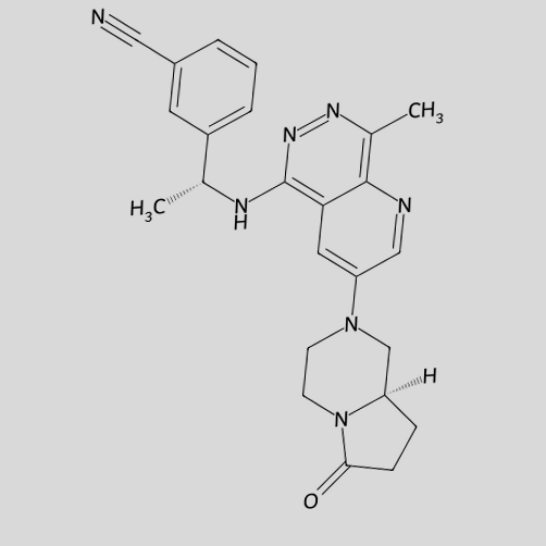 Cc1nnc(N[C@H](C)c2cccc(C#N)c2)c2cc(N3CCN4C(=O)CC[C@@H]4C3)cnc12